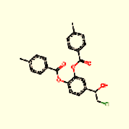 Cc1ccc(C(=O)Oc2ccc(C(O)CCl)cc2OC(=O)c2ccc(C)cc2)cc1